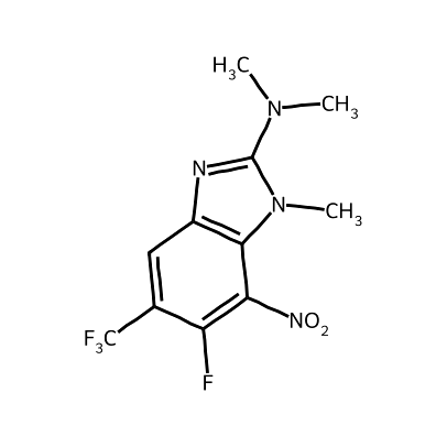 CN(C)c1nc2cc(C(F)(F)F)c(F)c([N+](=O)[O-])c2n1C